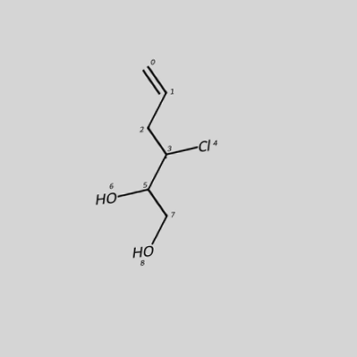 C=CC[C](Cl)C(O)CO